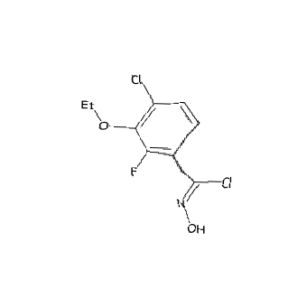 CCOc1c(Cl)ccc(C(Cl)=NO)c1F